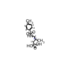 C/C(=C/NS(=O)(=O)c1ccc(C)cc1)CP(=O)(O)O